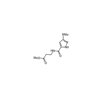 CNc1cc(C(=O)NCCC(=O)OC)[nH]n1